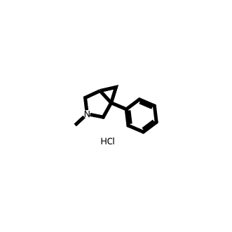 CN1CC2CC2(c2ccccc2)C1.Cl